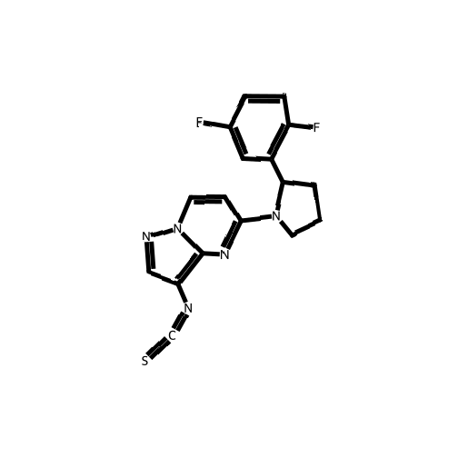 Fc1ccc(F)c(C2CCCN2c2ccn3ncc(N=C=S)c3n2)c1